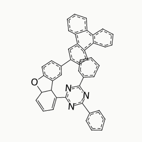 C1=CC2Oc3ccc(-c4ccc5c6ccccc6c6ccccc6c5c4)cc3C2C(c2nc(-c3ccccc3)nc(-c3ccccc3)n2)=C1